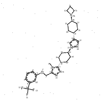 Cn1c(COc2cccc(C(F)(F)F)c2)nnc1[C@H]1CC[C@H](n2cc([C@H]3CC[C@H](N4CCC4)CC3)cn2)CC1